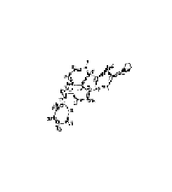 O=C1C=C2C(=N1)c1cccc3c(Oc4ccccc4)ccc2c13